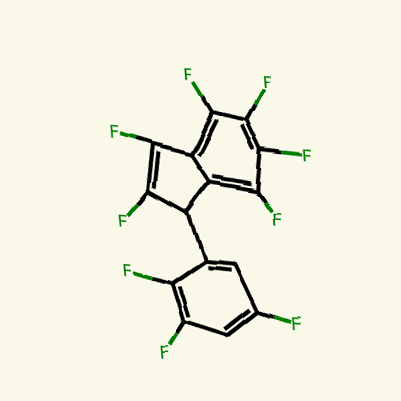 FC1=C(F)C(c2cc(F)cc(F)c2F)c2c(F)c(F)c(F)c(F)c21